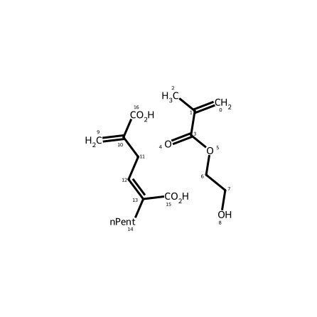 C=C(C)C(=O)OCCO.C=C(CC=C(CCCCC)C(=O)O)C(=O)O